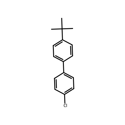 CC(C)(C)c1ccc(-c2ccc(Cl)cc2)cc1